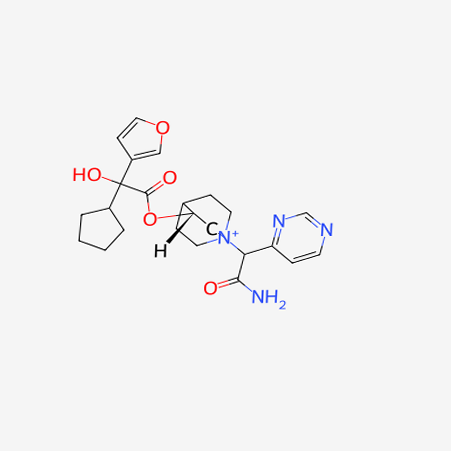 NC(=O)C(c1ccncn1)[N+]12CCC(CC1)[C@@H](OC(=O)C(O)(c1ccoc1)C1CCCC1)C2